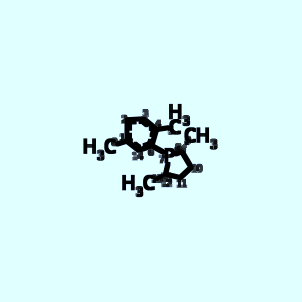 Cc1ccc(C)c(P2[C@H](C)CC[C@H]2C)c1